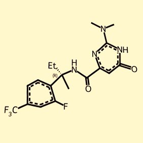 CC[C@@](C)(NC(=O)c1cc(=O)[nH]c(N(C)C)n1)c1ccc(C(F)(F)F)cc1F